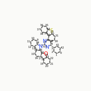 c1ccc(-c2nc(-n3c4ccccc4c4ccc5c6ccccc6oc5c43)nc3c2ccc2sc4ccccc4c23)cc1